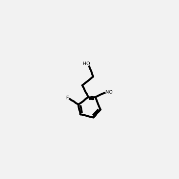 O=Nc1cccc(F)c1CCO